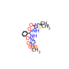 CC1(C)CN2C(=O)[C@@H](NC(=O)C(NC(=O)N3CCN(S(C)(=O)=O)C3=O)c3ccccc3)C2S1